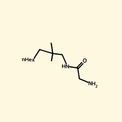 CCCCCCCC(C)(C)CNC(=O)CN